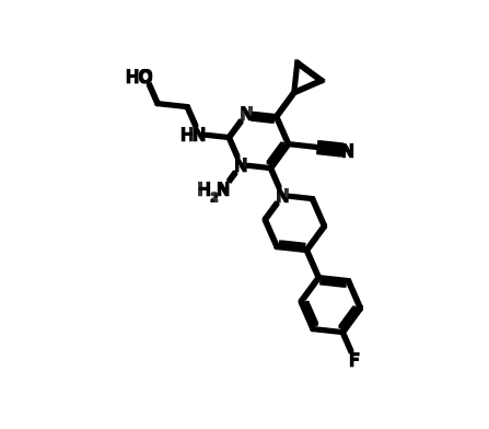 N#CC1=C(N2CC=C(c3ccc(F)cc3)CC2)N(N)C(NCCO)N=C1C1CC1